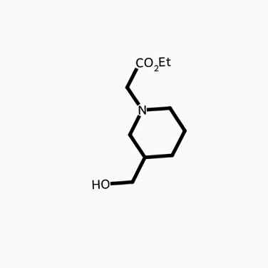 CCOC(=O)CN1CCCC(CO)C1